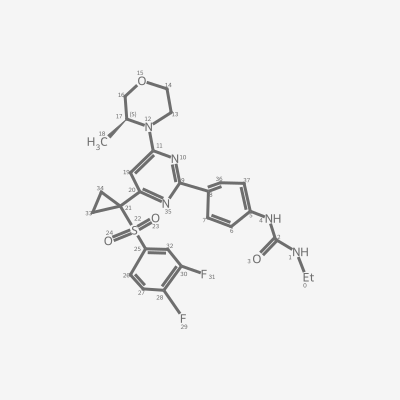 CCNC(=O)Nc1ccc(-c2nc(N3CCOC[C@@H]3C)cc(C3(S(=O)(=O)c4ccc(F)c(F)c4)CC3)n2)cc1